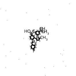 Cc1ccc(-c2cc(Br)ccc2OCc2ccc(F)cc2F)n1-c1cc(C(=O)O)cc(N(C)C)c1